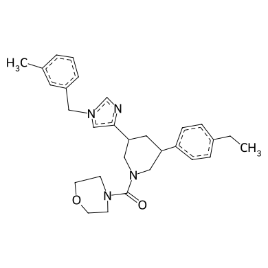 CCc1ccc(C2CC(c3cn(Cc4cccc(C)c4)cn3)CN(C(=O)N3CCOCC3)C2)cc1